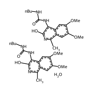 CCCCNC(=O)Nc1c(O)nc(C)c2cc(OC)c(OC)cc12.CCCCNC(=O)Nc1c(O)nc(C)c2cc(OC)c(OC)cc12.O